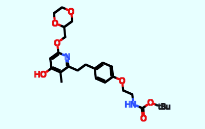 Cc1c(O)cc(OCC2COCCO2)nc1CCc1ccc(OCCNC(=O)OC(C)(C)C)cc1